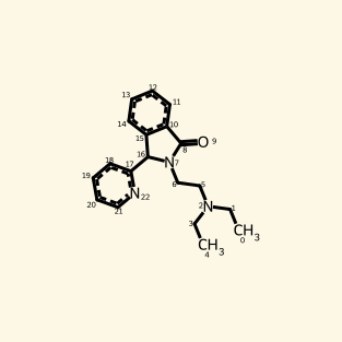 CCN(CC)CCN1C(=O)c2ccccc2C1c1ccccn1